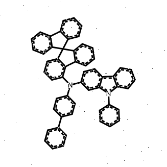 c1ccc(-c2ccc(N(c3ccc4c5ccccc5n(-c5ccccc5)c4c3)c3cccc4c3-c3ccccc3C43c4ccccc4-c4ccccc43)cc2)cc1